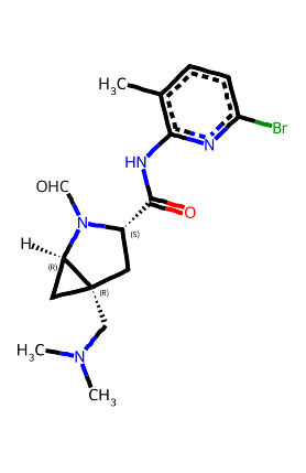 Cc1ccc(Br)nc1NC(=O)[C@@H]1C[C@@]2(CN(C)C)C[C@H]2N1C=O